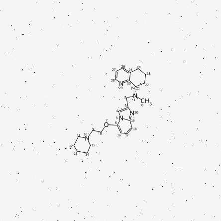 CN(Cc1cn2c(OCCN3CCCCC3)cccc2n1)[C@H]1CCCc2cccnc21